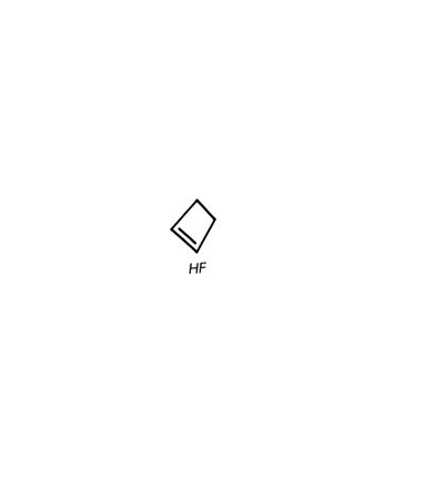 C1=CCC1.F